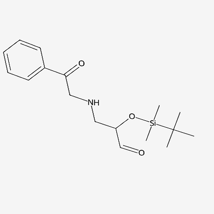 CC(C)(C)[Si](C)(C)OC(C=O)CNCC(=O)c1ccccc1